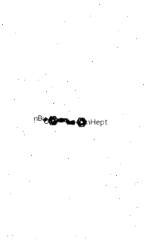 CCCCCCC[C@H]1CC[C@H](C#C/C=C/C#Cc2ccc(OCCCC)cc2)CC1